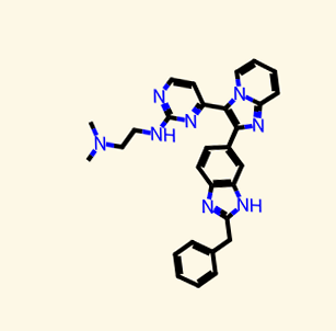 CN(C)CCNc1nccc(-c2c(-c3ccc4nc(Cc5ccccc5)[nH]c4c3)nc3ccccn23)n1